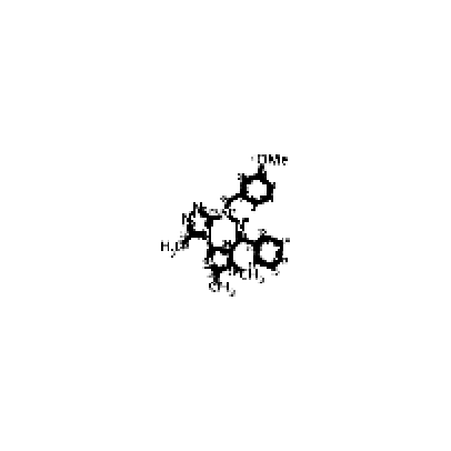 COc1cccc(CN2N=C(c3ccccc3)c3c(sc(C)c3C)-n3c(C)nnc32)c1